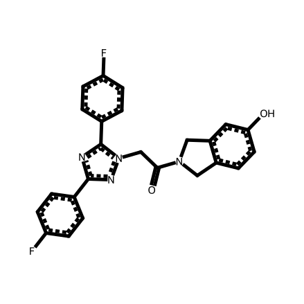 O=C(Cn1nc(-c2ccc(F)cc2)nc1-c1ccc(F)cc1)N1Cc2ccc(O)cc2C1